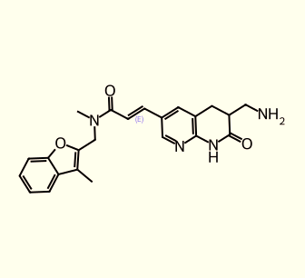 Cc1c(CN(C)C(=O)/C=C/c2cnc3c(c2)CC(CN)C(=O)N3)oc2ccccc12